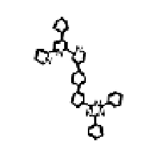 c1ccc(-c2cc(-c3ccccn3)nc(-c3cc(-c4ccc(-c5cccc(-c6nc(-c7ccccc7)nc(-c7ccccc7)n6)c5)cc4)ccn3)c2)cc1